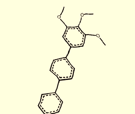 COc1cc(-c2ccc(-c3ccccc3)cc2)cc(OC)c1OC